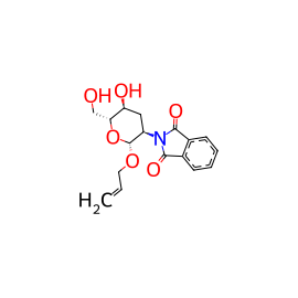 C=CCO[C@@H]1O[C@H](CO)[C@@H](O)C[C@H]1N1C(=O)c2ccccc2C1=O